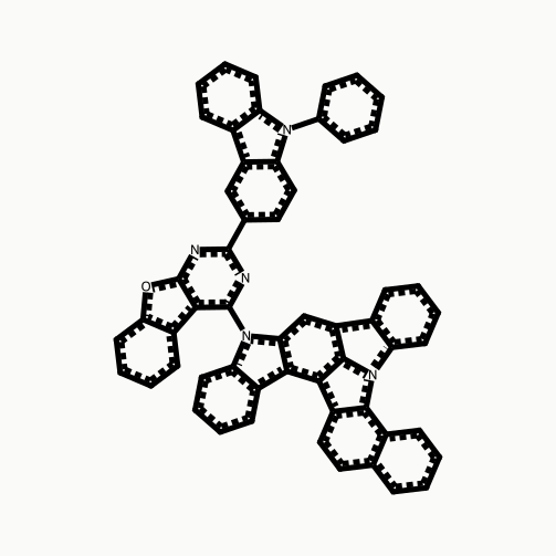 c1ccc(-n2c3ccccc3c3cc(-c4nc(-n5c6ccccc6c6c7c8ccc9ccccc9c8n8c9ccccc9c(cc65)c78)c5c(n4)oc4ccccc45)ccc32)cc1